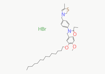 Br.CCCCCCCCCCCCCCOc1cc(CN(C(=O)CC)c2ccc(CN3C=C(C)SC3)cc2)ccc1OC